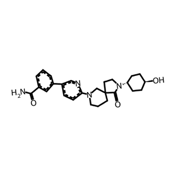 NC(=O)c1cccc(-c2ccc(N3CCCC4(CCN([C@H]5CC[C@H](O)CC5)C4=O)C3)nc2)c1